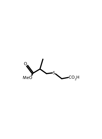 COC(=O)C(C)CSCC(=O)O